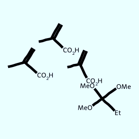 C=C(C)C(=O)O.C=C(C)C(=O)O.C=C(C)C(=O)O.CCC(OC)(OC)OC